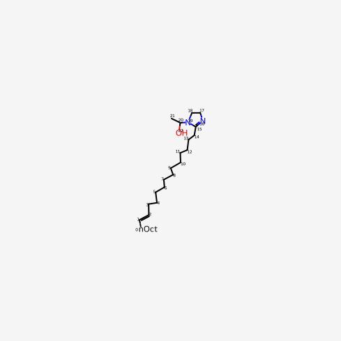 CCCCCCCCC=CCCCCCCCCCCCCC1=NCCN1C(C)O